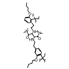 CCCCOc1cc(CCNC(C(=O)N(C)C)C(NCCc2cccc(OCCCC)c2C(F)(F)F)C(=O)N(C)C)ccc1C(F)(F)F